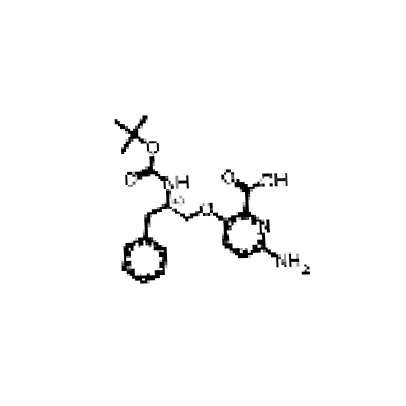 CC(C)(C)OC(=O)N[C@@H](COc1ccc(N)nc1C(=O)O)Cc1ccccc1